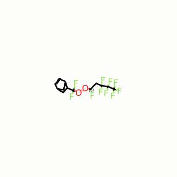 F[C@@H](CC(F)(F)C(F)(F)C(F)(F)F)OOC(F)(F)C1CC2C=CC1C2